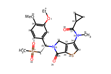 CCOc1cc([C@@H](CS(C)(=O)=O)N2Cc3c(N(C)C(=O)C4CC4)csc3C2=O)ccc1OC